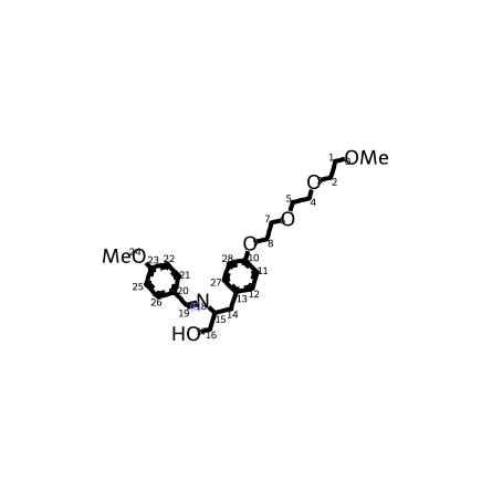 COCCOCCOCCOc1ccc(CC(CO)/N=C/c2ccc(OC)cc2)cc1